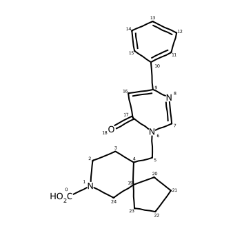 O=C(O)N1CCC(Cn2cnc(-c3ccccc3)cc2=O)C2(CCCC2)C1